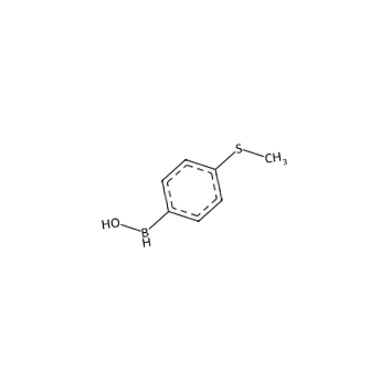 CSc1ccc(BO)cc1